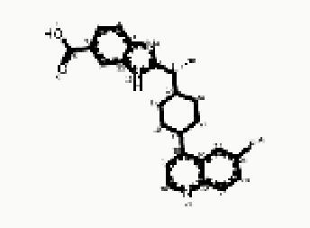 C[C@@H](c1nc2ccc(C(=O)O)cc2[nH]1)C1CCC(c2ccnc3ccc(F)cc23)CC1